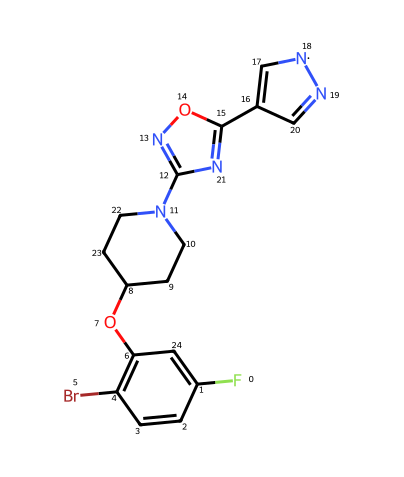 Fc1ccc(Br)c(OC2CCN(c3noc(C4=C[N]N=C4)n3)CC2)c1